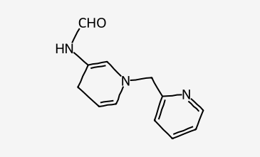 O=CNC1=CN(Cc2ccccn2)C=CC1